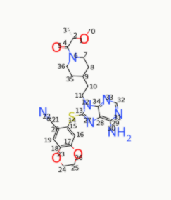 CO[C@@H](C)C(=O)N1CCC(CCn2c(Sc3cc4c(cc3C#N)OCCO4)nc3c(N)ncnc32)CC1